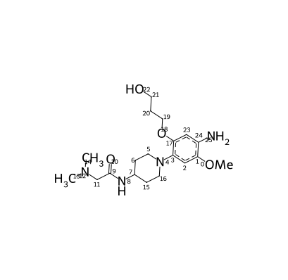 COc1cc(N2CCC(NC(=O)CN(C)C)CC2)c(OCCCO)cc1N